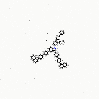 CC1(C)c2cc(-c3ccccc3)ccc2-c2ccc(-n3cc(-c4ccc(-c5ccc(-c6cccc7ccccc67)cc5)cc4)c4cc(-c5ccc(-c6ccc(-c7cccc8ccccc78)cc6)cc5)ccc43)cc21